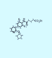 CCOC(=O)CCCC(=O)Nc1c(F)cc(-c2cccnc2OC2CCCC2)cc1F